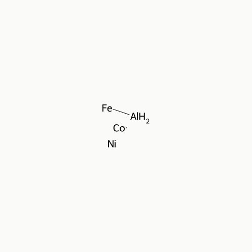 [AlH2][Fe].[Co].[Ni]